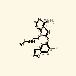 CC(C)CNCCn1c(Sc2cc3ccoc3cc2I)nc2c(N)ncnc21